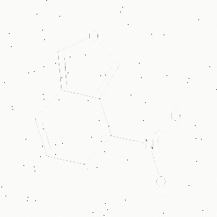 O=[N+]([O-])c1cccc2co[c]c12